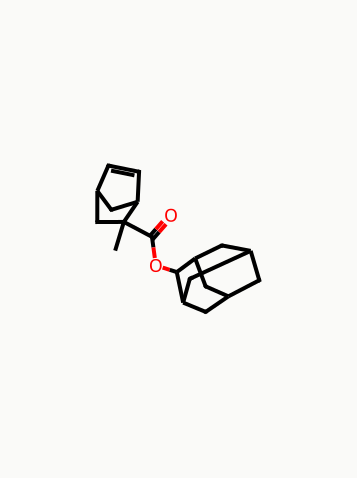 CC1(C(=O)OC2C3CC4CC(C3)CC2C4)CC2C=CC1C2